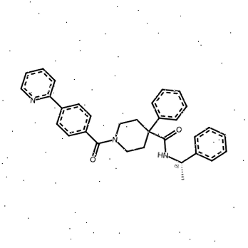 C[C@H](NC(=O)C1(c2ccccc2)CCN(C(=O)c2ccc(-c3ccccn3)cc2)CC1)c1ccccc1